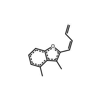 C=C/C=C\c1oc2cccc(C)c2c1C